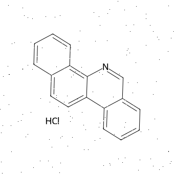 Cl.c1ccc2c(c1)cnc1c3ccccc3ccc21